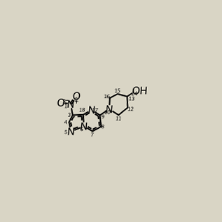 O=[N+]([O-])c1cnn2ccc(N3CCC(O)CC3)nc12